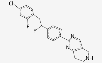 Fc1cc(Cl)ccc1CC(F)c1ccc(-c2ncc3c(n2)CCNC3)cc1